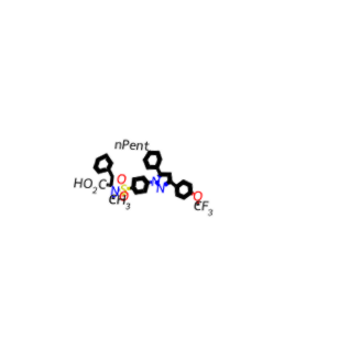 CCCCCc1ccc(-c2cc(-c3ccc(OC(F)(F)F)cc3)nn2-c2ccc(S(=O)(=O)N(C)C(Cc3ccccc3)C(=O)O)cc2)cc1